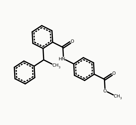 COC(=O)c1ccc(NC(=O)c2ccccc2C(C)c2ccccc2)cc1